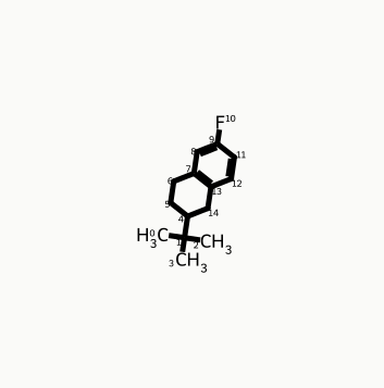 CC(C)(C)C1CCc2cc(F)ccc2C1